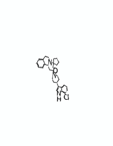 O=CC1(N2CCc3ccccc3C2CCN2CCC(c3c[nH]c4c(Cl)cccc34)CC2)CCCC1